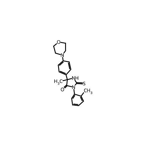 Cc1ccccc1N1C(=O)C(C)(c2ccc(N3CCOCC3)cc2)NC1=S